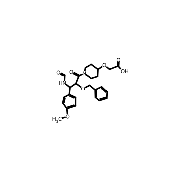 COc1ccc(C(NC=O)C(OCc2ccccc2)C(=O)N2CCC(OCC(=O)O)CC2)cc1